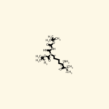 CN(C)C(=O)[C@@H](N)CCCCN(C(=N)NC(=O)OC(C)(C)C)C(=O)OC(C)(C)C